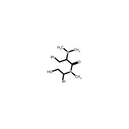 CC(C)CC(C(=O)N(C)C(CO)C(C)C)N(C)C